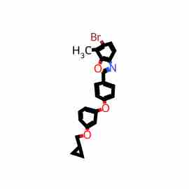 Cc1c(Br)ccc2nc(-c3ccc(Oc4cccc(OCC5CC5)c4)cc3)oc12